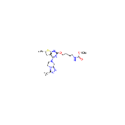 CCCC1Cc2c(nc(OCCCCNC(=O)OC(C)(C)C)nc2N2CCn3c(nnc3C(F)(F)F)C2)S1